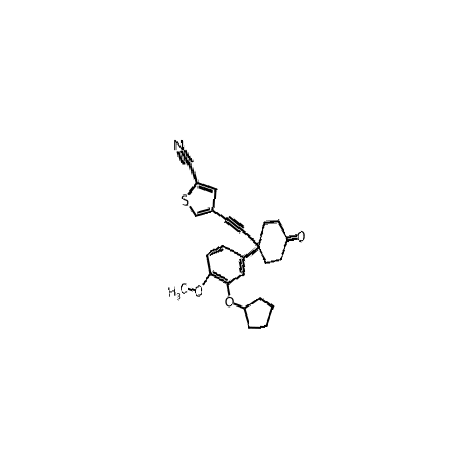 COc1ccc(C2(C#Cc3csc(C#N)c3)CCC(=O)CC2)cc1OC1CCCC1